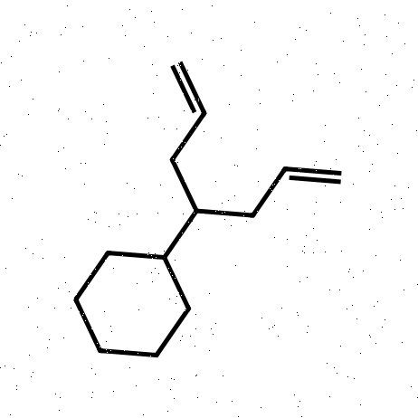 C=CCC(CC=C)C1CCCCC1